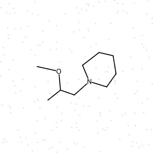 COC(C)CN1CCCCC1